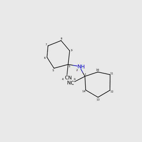 N#CC1(NC2(C#N)CCCCC2)CCCCC1